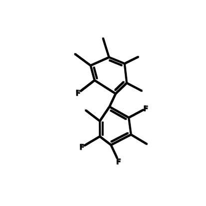 Cc1c(C)c(C)c(-c2c(C)c(F)c(F)c(C)c2F)c(F)c1C